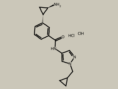 Cl.Cl.N[C@@H]1C[C@H]1c1cccc(C(=O)Nc2cnn(CC3CC3)c2)c1